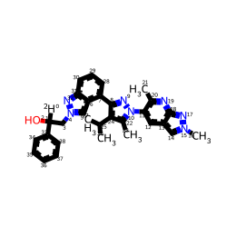 [2H]C(O)(Cn1cc2c(-c3nn(-c4cc5cn(C)nc5nc4C)c(C)c3C(C)C)cccc2n1)c1ccccc1